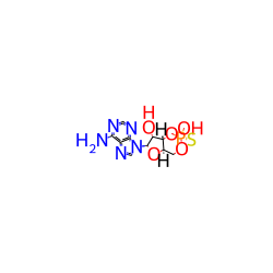 Nc1ncnc2c1ncn2[C@@H]1O[C@@H]2COP(O)(=S)O[C@H]2[C@H]1O